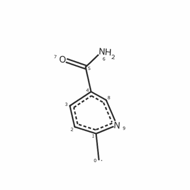 [CH2]c1ccc(C(N)=O)cn1